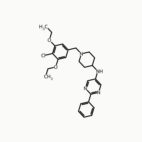 CCOc1cc(CN2CCC(Nc3cnc(-c4ccccc4)nc3)CC2)cc(OCC)c1Cl